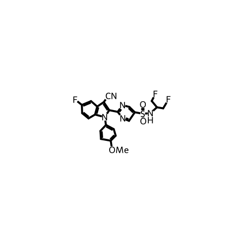 COc1ccc(-n2c(-c3ncc(S(=O)(=O)NC(CF)CF)cn3)c(C#N)c3cc(F)ccc32)cc1